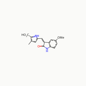 COc1ccc2c(c1)C(=Cc1cc(C)c(C(=O)O)[nH]1)C(=O)N2